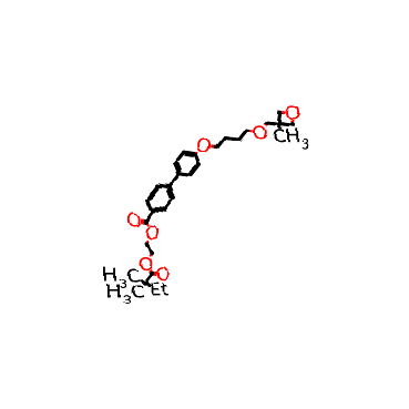 CCC(C)(C)C(=O)OCCOC(=O)c1ccc(-c2ccc(OCCCCOCC3(C)COC3)cc2)cc1